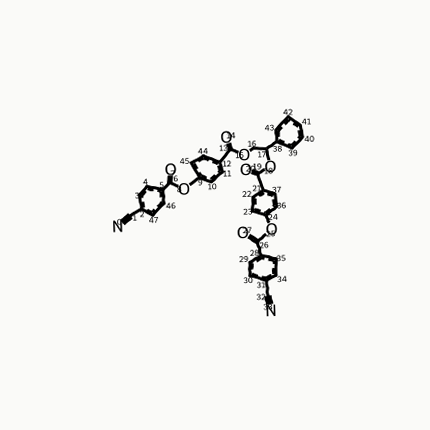 N#Cc1ccc(C(=O)Oc2ccc(C(=O)OCC(OC(=O)c3ccc(OC(=O)c4ccc(C#N)cc4)cc3)c3ccccc3)cc2)cc1